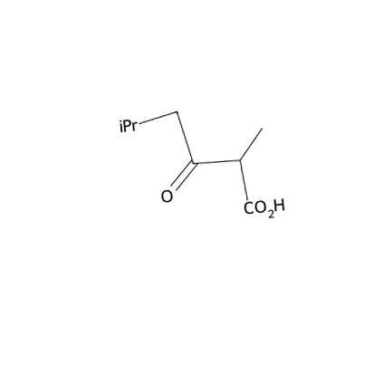 CC(C)CC(=O)C(C)C(=O)O